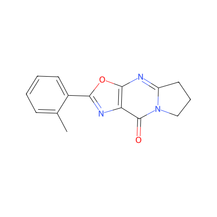 Cc1ccccc1-c1nc2c(=O)n3c(nc2o1)CCC3